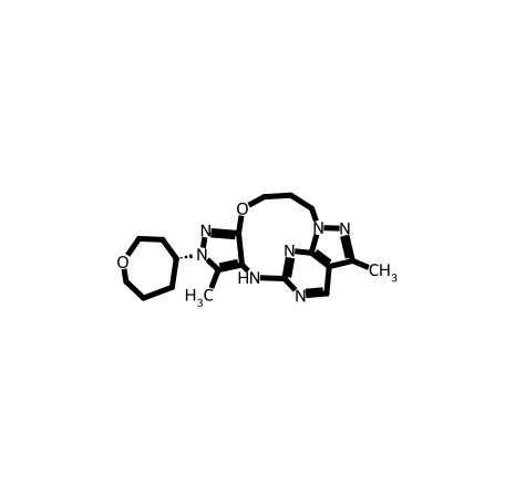 Cc1nn2c3nc(ncc13)Nc1c(nn([C@@H]3CCCOCC3)c1C)OCCC2